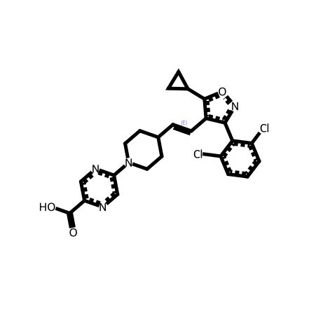 O=C(O)c1cnc(N2CCC(/C=C/c3c(-c4c(Cl)cccc4Cl)noc3C3CC3)CC2)cn1